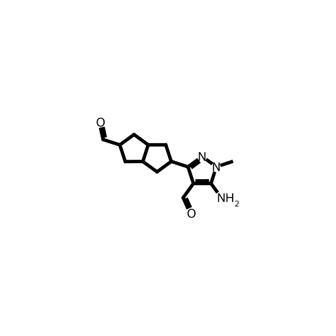 Cn1nc(C2CC3CC(C=O)CC3C2)c(C=O)c1N